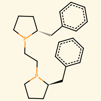 c1ccc(C[C@H]2CCCP2CCP2CCC[C@@H]2Cc2ccccc2)cc1